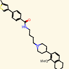 COc1c(C2CCN(CCCCNC(=O)c3ccc(-c4csc(C(C)=O)c4)cc3)CC2)ccc2c1CCCC2